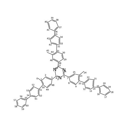 Cc1cc(-c2nc(-c3ccc(-c4ccc(-c5ccccc5)cc4)c(C)c3)nc(-c3ccc(-c4ccc(-c5ccccc5)cc4)c(C)c3)n2)ccc1-c1ccc(-c2ccccc2)cc1